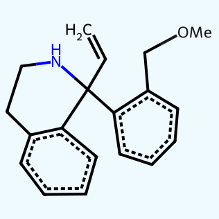 C=CC1(c2ccccc2COC)NCCc2ccccc21